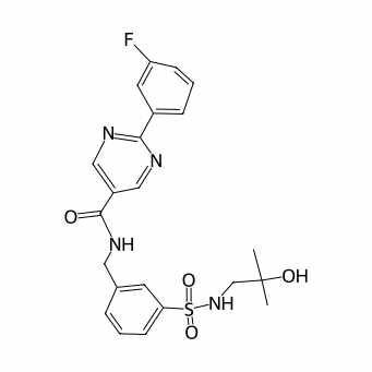 CC(C)(O)CNS(=O)(=O)c1cccc(CNC(=O)c2cnc(-c3cccc(F)c3)nc2)c1